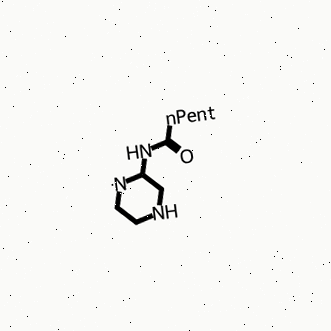 CCCCCC(=O)NC1CNCC[N]1